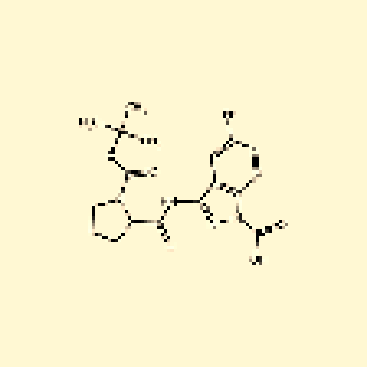 CC(C)(C)OC(=O)N1CCCC1C(=O)Nc1nn(C(=O)O)c2ccc(Br)cc12